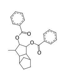 CC1C(OC(=O)c2ccccc2)C(OC(=O)c2ccccc2)C2C3CCC(C3)C12